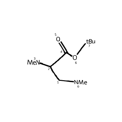 CNCC(NC)C(=O)OC(C)(C)C